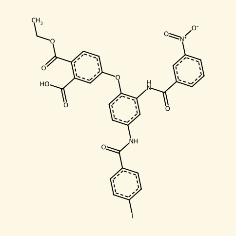 CCOC(=O)c1ccc(Oc2ccc(NC(=O)c3ccc(I)cc3)cc2NC(=O)c2cccc([N+](=O)[O-])c2)cc1C(=O)O